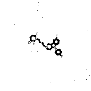 O=C1CCC(=O)N(CCCCN2CCC3C(C2)c2cc(F)ccc2N3c2ccc(F)cc2)N1